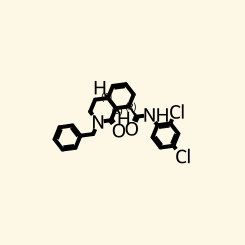 O=C(Nc1ccc(Cl)cc1Cl)[C@@H]1CC=C[C@@H]2CCN(Cc3ccccc3)C(=O)[C@@H]21